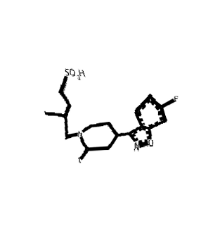 CC(CCS(=O)(=O)O)CN1CCC(c2noc3cc(F)ccc23)CC1I